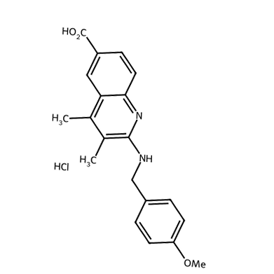 COc1ccc(CNc2nc3ccc(C(=O)O)cc3c(C)c2C)cc1.Cl